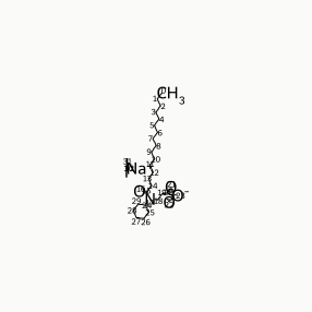 CCCCCCCCCCCCCCCC(=O)N(CCS(=O)(=O)[O-])C1CCCCC1.II.[Na+]